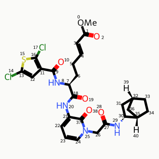 COC(=O)/C=C/CC[C@H](NC(=O)c1cc(Cl)sc1Cl)C(=O)Nc1cccn(CC(=O)N[C@@H]2C[C@@H]3CC[C@H]2C3)c1=O